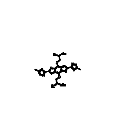 CCCCC(CC)COc1c2cc(-c3ncc(C)s3)sc2c(OCC(CC)CCCC)c2cc(-c3ncc(C)s3)sc12